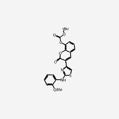 COc1ccccc1Nc1nc(-c2cc3cccc(OC(=O)OC(C)(C)C)c3oc2=O)cs1